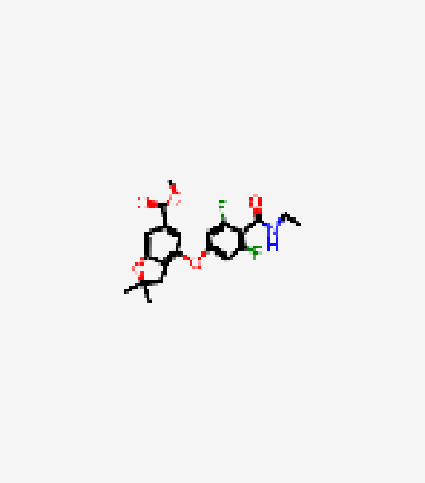 CCNC(=O)c1c(F)cc(Oc2cc(C(=O)OC)cc3c2CC(C)(C)O3)cc1F